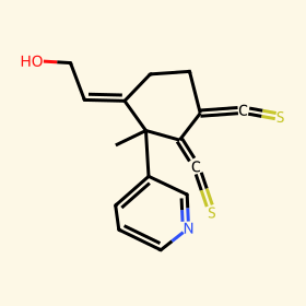 CC1(c2cccnc2)C(=C=S)C(=C=S)CCC1=CCO